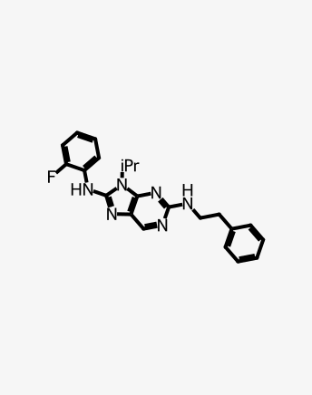 CC(C)n1c(Nc2ccccc2F)nc2cnc(NCCc3ccccc3)nc21